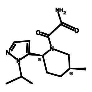 CC(C)n1nccc1[C@@H]1CC[C@H](C)CN1C(=O)C(N)=O